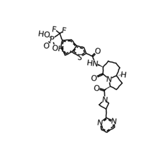 O=C(N[C@H]1CCC[C@H]2CC[C@@H](C(=O)N3CC(c4ncccn4)C3)N2C1=O)c1cc2cc(C(F)(F)P(=O)(O)O)ccc2s1